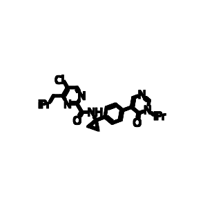 CC(C)Cc1nc(C(=O)NC2(c3ccc(-c4cncn(C(C)C)c4=O)cc3)CC2)ncc1Cl